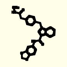 CONC(=O)Cc1ccc(Cn2cc(C(=O)Nc3ccc4c(c3)OCO4)c3ccccc32)cc1